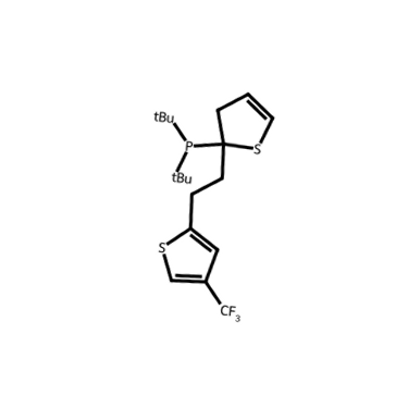 CC(C)(C)P(C(C)(C)C)C1(CCc2cc(C(F)(F)F)cs2)CC=CS1